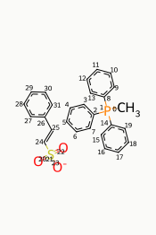 C[P+](c1ccccc1)(c1ccccc1)c1ccccc1.O=S(=O)([O-])C=Cc1ccccc1